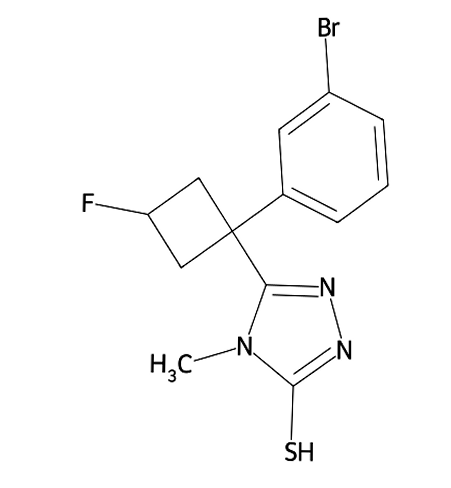 Cn1c(S)nnc1C1(c2cccc(Br)c2)CC(F)C1